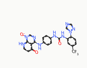 O=C(Nc1ccc(Nc2nc[n+]([O-])c3[nH]ccc(=O)c23)cc1)Nc1cc(C(F)(F)F)ccc1-n1cncn1